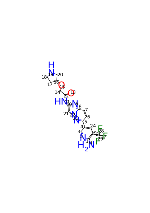 Nc1ncc(-c2ccc3nc(NC(=O)CO[C@@H]4CCNC4)cn3n2)cc1C(F)(F)F